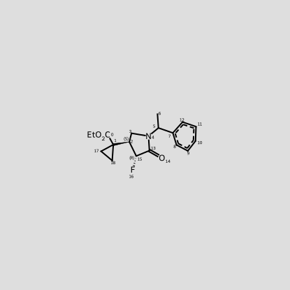 CCOC(=O)C1([C@H]2CN(C(C)c3ccccc3)C(=O)[C@@H]2F)CC1